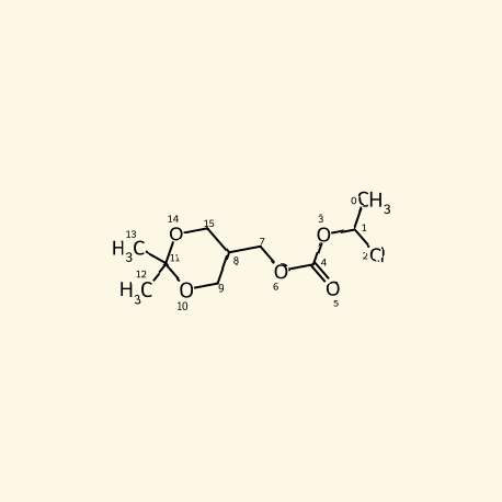 CC(Cl)OC(=O)OCC1COC(C)(C)OC1